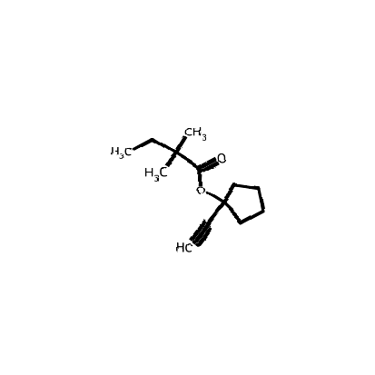 C#CC1(OC(=O)C(C)(C)CC)CCCC1